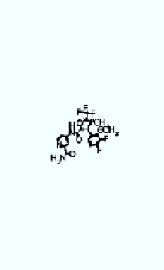 COc1c(C2[C@H](C(=O)Nc3ccnc(C(N)=O)c3)O[C@@H](C(F)(F)F)[C@H]2C)ccc(F)c1F